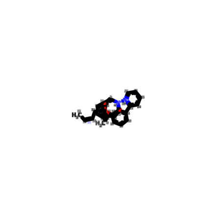 C=C1CC[N+]23c4c(cccc4/C1=C/C=C\C)Oc1cccc(c12)-c1cccc[n+]13